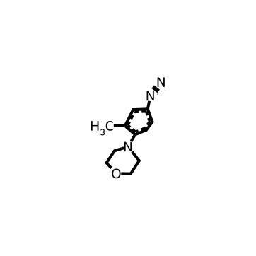 Cc1cc([N+]#N)ccc1N1CCOCC1